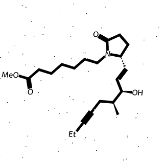 CCC#CC[C@H](C)[C@H](O)/C=C/[C@H]1CCC(=O)N1CCCCCCC(=O)OC